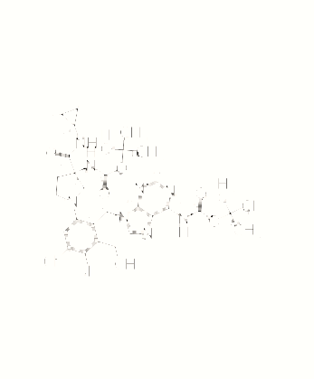 CCc1c(I)c(Cl)cc(N2CC[C@](NC(=O)OC(C)(C)C)(C(=O)NC3CC3)C2)c1Cn1cnc2c(NC(=O)OC(C)(C)C)ncnc21